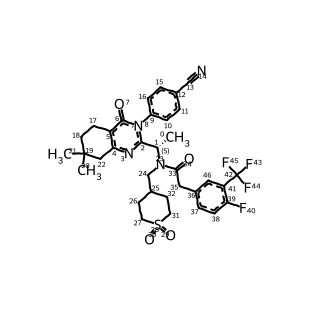 C[C@@H](c1nc2c(c(=O)n1-c1ccc(C#N)cc1)CCC(C)(C)C2)N(CC1CCS(=O)(=O)CC1)C(=O)Cc1ccc(F)c(C(F)(F)F)c1